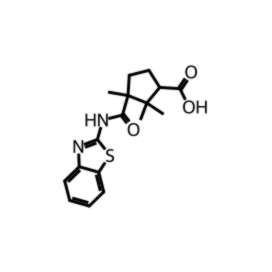 CC1(C(=O)Nc2nc3ccccc3s2)CCC(C(=O)O)C1(C)C